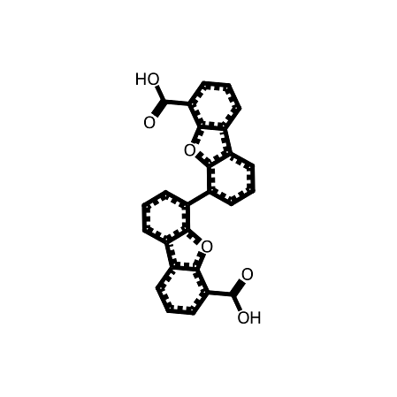 O=C(O)c1cccc2c1oc1c(-c3cccc4c3oc3c(C(=O)O)cccc34)cccc12